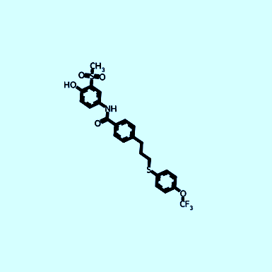 CS(=O)(=O)c1cc(NC(=O)c2ccc(CCCSc3ccc(OC(F)(F)F)cc3)cc2)ccc1O